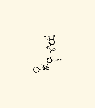 COc1cc(C(=O)C(=O)NC2CCCCC2)ccc1OCC(=O)Nc1ccc(F)c([N+](=O)[O-])c1